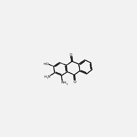 Nc1c(O)cc2c(c1N)C(=O)c1ccccc1C2=O